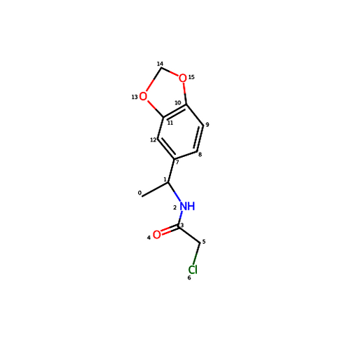 CC(NC(=O)CCl)c1ccc2c(c1)OCO2